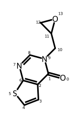 O=c1c2ccsc2ncn1CC1CO1